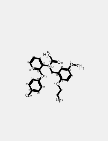 COc1ccc(OCC[18F])c(CN(C(C)=O)c2cccnc2Oc2ccc(Cl)cc2)c1